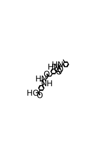 COc1cc(CC(=O)CNC(C)Nc2ccc(C(=O)O)cc2)ccc1NC(=O)Nc1ccccc1C